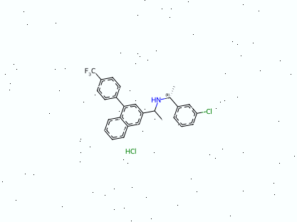 CC(N[C@H](C)c1cccc(Cl)c1)c1cc(-c2ccc(C(F)(F)F)cc2)c2ccccc2c1.Cl